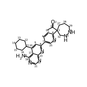 CC(=O)C1(c2ccc(-c3cc(C4CCCCC4)c4c(N)ncnc4n3)cn2)CCCNNC1